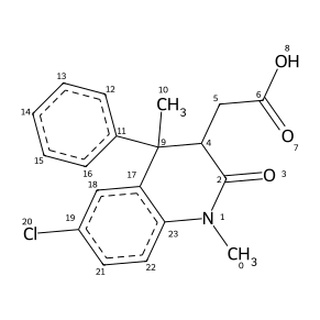 CN1C(=O)C(CC(=O)O)C(C)(c2ccccc2)c2cc(Cl)ccc21